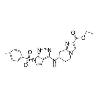 CCOC(=O)c1cn2c(n1)CC(Nc1ncnc3c1ccn3S(=O)(=O)c1ccc(C)cc1)CC2